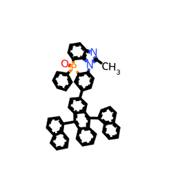 Cc1nc2cccc3c2n1-c1ccc(-c2ccc4c(-c5cccc6ccccc56)c5ccccc5c(-c5cccc6ccccc56)c4c2)cc1P3(=O)c1ccccc1